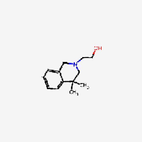 CC1(C)CN(CCO)Cc2c[c]ccc21